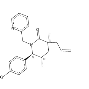 C=CC[C@@]1(C)C[C@H](C)[C@@H](c2ccc(Cl)cc2)N(Cc2ccccn2)C1=O